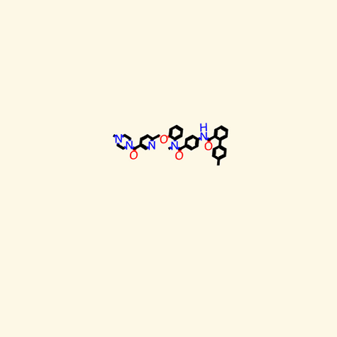 Cc1ccc(-c2ccccc2C(=O)Nc2ccc(C(=O)N(C)c3ccccc3OCc3ccc(C(=O)N4CCN(C)CC4)cn3)cc2)cc1